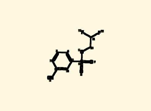 O=Nc1cccc(S(=O)(=O)OCC(F)F)c1